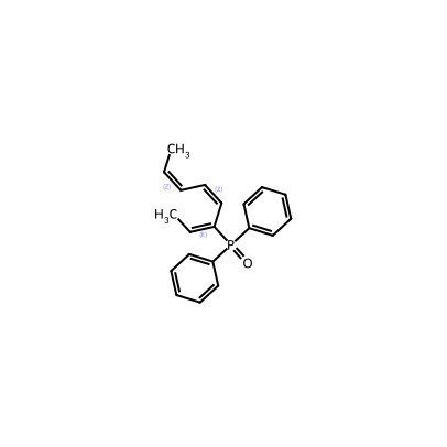 C\C=C/C=C\C(=C/C)P(=O)(c1ccccc1)c1ccccc1